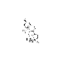 CCCC[C@]1(O)CCC2C3CCC4=CC(=O)CC[C@]4(C)C3CC[C@@]21C